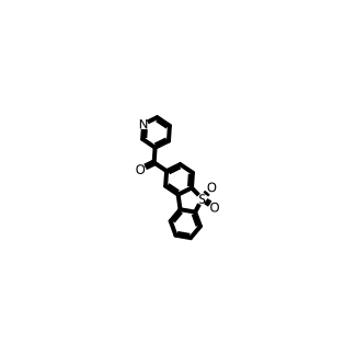 O=C(c1cccnc1)c1ccc2c(c1)-c1ccccc1S2(=O)=O